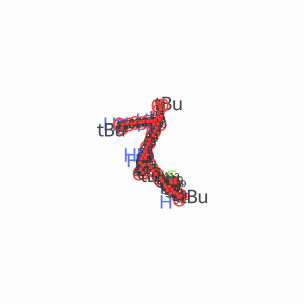 CC(C)(C)OC(=O)COc1ccc(CC(NC(=O)CCOCCOCCOCCOCCNC(=O)OC(C)(C)C)C(=O)NCCOCCOCCOCCOCCC(=O)NC(Cc2ccc(OCC(=O)OC(C)(C)C)cc2)C(=O)NCCOCCOCCOCCOCCC(=O)NC(Cc2ccc(OCC(=O)OC(C)(C)C)cc2)C(=O)Oc2c(F)c(F)cc(F)c2F)cc1